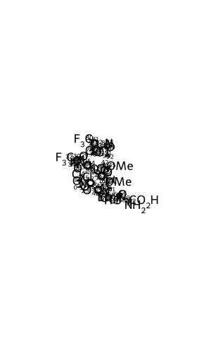 CC1COc2ccccc2N1C(=O)C(Cl)Cl.CCc1ccc(COc2ccc(-n3c(=O)cc(C(F)(F)F)n(C)c3=O)cc2)c(OC(C)C(=O)OC)c1.CCc1cccc(C)c1N(C(=O)CCl)C(C)COC.CP(=O)(O)CCC(N)C(=O)O.CS(=O)(=O)c1cc(C(F)(F)F)ccc1C(=O)c1cnoc1C1CC1